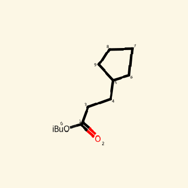 CC(C)COC(=O)CCC1CCCC1